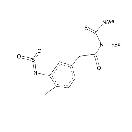 CCCCN(C(=O)Cc1ccc(C)c(N=S(=O)=O)c1)C(=S)NC